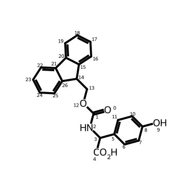 O=C(NC(C(=O)O)c1ccc(O)cc1)OCC1c2ccccc2-c2ccccc21